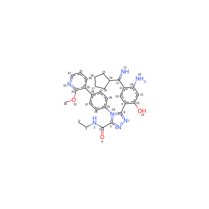 CCNC(=O)c1nnc(-c2cc(C(=N)C3CCCC3)c(N)cc2O)n1-c1ccc(-c2cccnc2OC)cc1